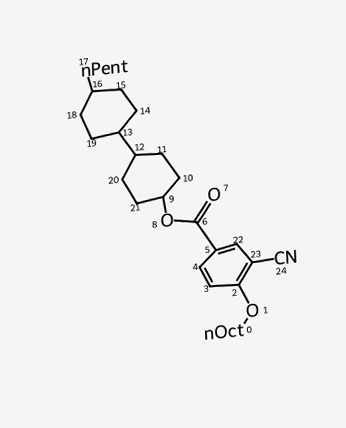 CCCCCCCCOc1ccc(C(=O)OC2CCC(C3CCC(CCCCC)CC3)CC2)cc1C#N